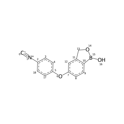 [C-]#[N+]c1ccc(Oc2ccc3c(c2)COB3O)cc1